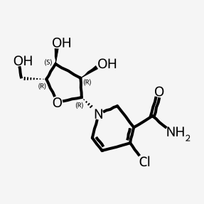 NC(=O)C1=C(Cl)C=CN([C@@H]2O[C@H](CO)[C@@H](O)[C@H]2O)C1